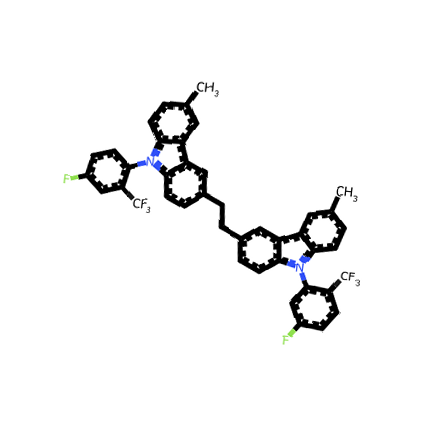 Cc1ccc2c(c1)c1cc(CCc3ccc4c(c3)c3cc(C)ccc3n4-c3ccc(F)cc3C(F)(F)F)ccc1n2-c1cc(F)ccc1C(F)(F)F